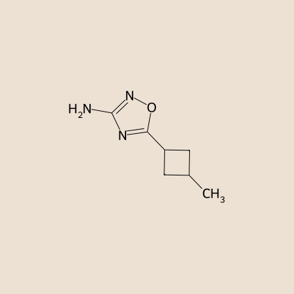 CC1CC(c2nc(N)no2)C1